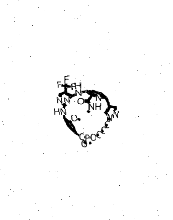 CNC(=O)c1nc2ccc1Nc1nc(ncc1C(F)(F)F)Nc1ccc(cc1OC)CP(C)(=O)OCCCn1cc-2cn1